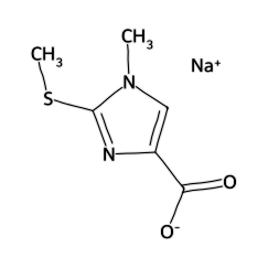 CSc1nc(C(=O)[O-])cn1C.[Na+]